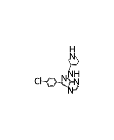 Clc1ccc(-c2cc3nccnc3c(NCC3=CCCNC3)n2)cc1